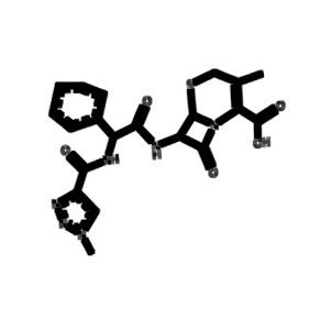 CC1=C(C(=O)O)N2C(=O)C(NC(=O)C(NC(=O)c3cn(C)nn3)c3ccccc3)C2SC1